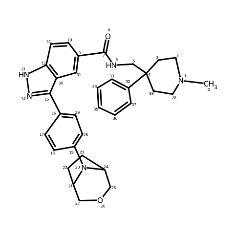 CN1CCC(CNC(=O)c2ccc3[nH]nc(-c4ccc(N5C6CCC5COC6)cc4)c3c2)(c2ccccc2)CC1